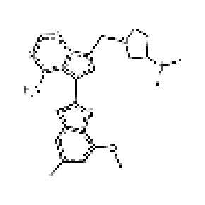 COc1cc(C)cc2cc(-c3cc(CN4CCC(N(C)C)C4)n4ncnc(N)c34)sc12